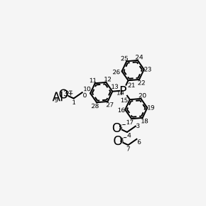 CC[O-].CC[O-].CC[O-].[Al+3].c1ccc(P(c2ccccc2)c2ccccc2)cc1